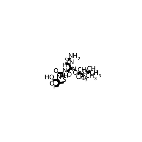 CC(C)(C)OC(=O)C(C)(C)O/N=C(\C(=O)NC1C(=O)N2C(C(=O)O)=C(CI)CS[C@@H]12)c1csc(N)n1